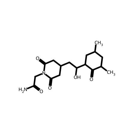 CC1CC(C)C(=O)C(C(O)CC2CC(=O)N(CC(N)=O)C(=O)C2)C1